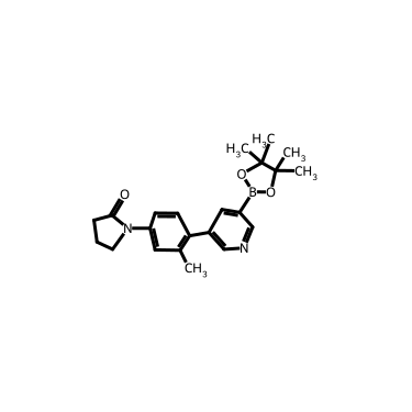 Cc1cc(N2CCCC2=O)ccc1-c1cncc(B2OC(C)(C)C(C)(C)O2)c1